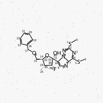 CSc1nc(SC)c2ncc([C@]3(O)O[C@H](COCc4ccccc4)[C@@H](C)[C@H]3F)n2n1